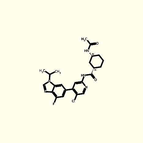 CC(=O)N[C@@H]1CCC[C@H](C(=O)Nc2cc(-c3cc(F)c4ncn(C(C)C)c4c3)c(Cl)cn2)C1